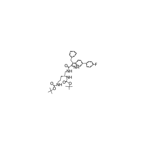 CC(C)(C)OC(=O)NCCC[C@@H](CNC(=O)c1[nH]c2cc(-c3ccc(F)cc3)ccc2c1Cc1ccccc1)NC(=O)OC(C)(C)C